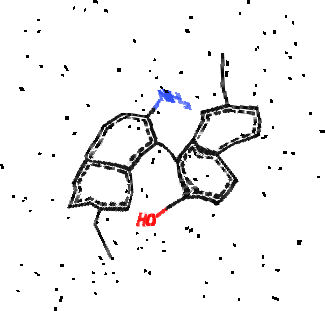 Cc1ccc2ccc(N)c(-c3c(O)ccc4ccc(C)cc34)c2c1